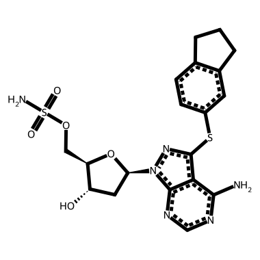 Nc1ncnc2c1c(Sc1ccc3c(c1)CCC3)nn2[C@H]1C[C@H](O)[C@@H](COS(N)(=O)=O)O1